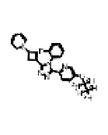 [2H]C([2H])([2H])C([2H])([2H])Oc1ccc(-c2nnc(C3CC(N4C=CC=CC4)C3)n2-c2ccccc2F)nc1